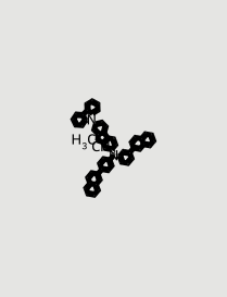 CC1(C)c2cc(N(c3ccc(-c4ccc5ccccc5c4)cc3)c3cccc(-c4ccc5ccccc5c4)c3)ccc2-c2ccc(-n3c4ccccc4c4ccccc43)cc21